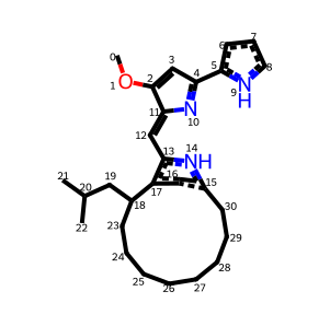 COC1=CC(c2ccc[nH]2)=N/C1=C\c1[nH]c2cc1C(CC(C)C)CCCCCCCC2